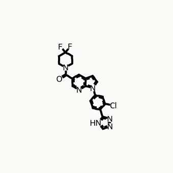 O=C(c1cnc2c(ccn2-c2ccc(-c3nnc[nH]3)c(Cl)c2)c1)N1CCC(F)(F)CC1